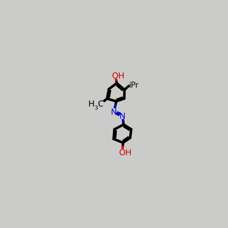 Cc1cc(O)c(C(C)C)cc1/N=N/c1ccc(O)cc1